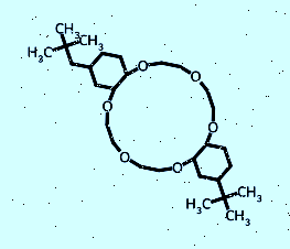 CC(C)(C)CC1CCC2OCCOCCOC3CCC(C(C)(C)C)CC3OCCOCCOC2C1